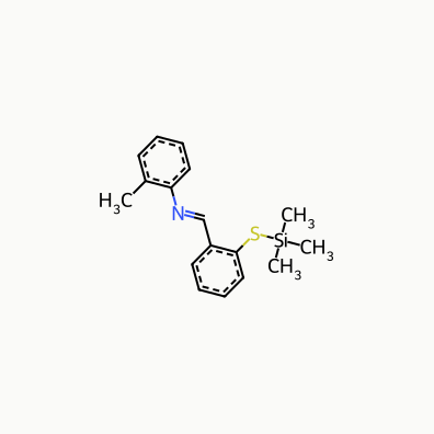 Cc1ccccc1N=Cc1ccccc1S[Si](C)(C)C